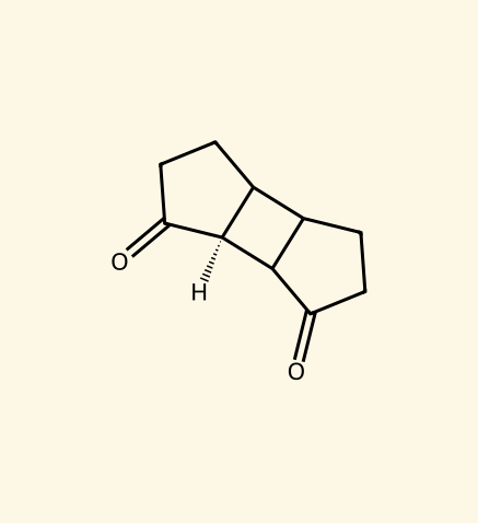 O=C1CCC2C3CCC(=O)[C@@H]3C12